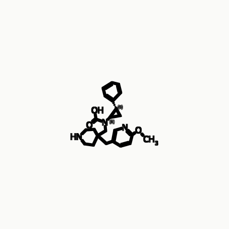 COc1ccc(CC2(CN(C(=O)O)[C@@H]3C[C@H]3c3ccccc3)CCNCC2)cn1